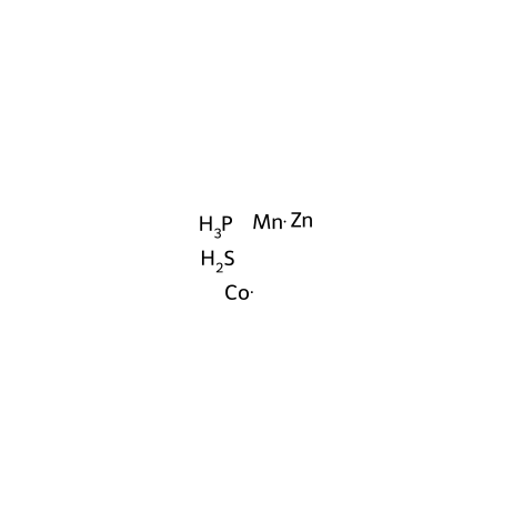 P.S.[Co].[Mn].[Zn]